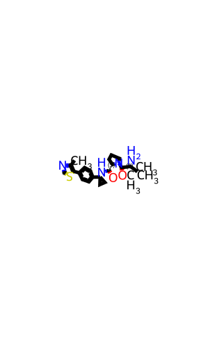 Cc1ncsc1-c1ccc(C2(NC(=O)[C@@H]3CCCN3C(=O)[C@@H](N)C(C)(C)C)CC2)cc1